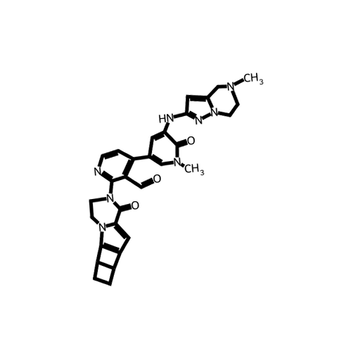 CN1CCn2nc(Nc3cc(-c4ccnc(N5CCn6c(cc7c6C6CCC76)C5=O)c4C=O)cn(C)c3=O)cc2C1